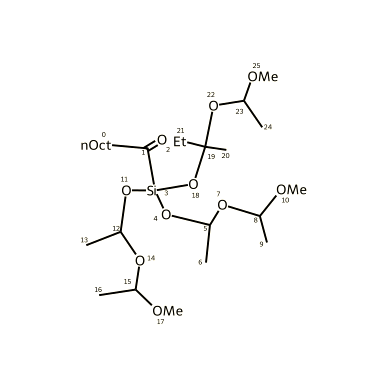 CCCCCCCCC(=O)[Si](OC(C)OC(C)OC)(OC(C)OC(C)OC)OC(C)(CC)OC(C)OC